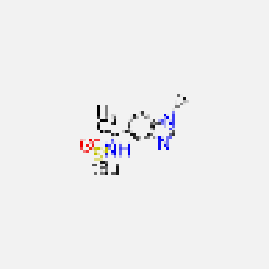 C[C@H](N[S+]([O-])C(C)(C)C)c1ccc2c(c1)ncn2C1CC1